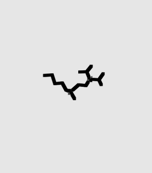 CCCCCN(C)CCN(C(C)C)C(C)C